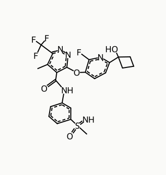 Cc1c(C(F)(F)F)nnc(Oc2ccc(C3(O)CCC3)nc2F)c1C(=O)Nc1cccc(S(C)(=N)=O)c1